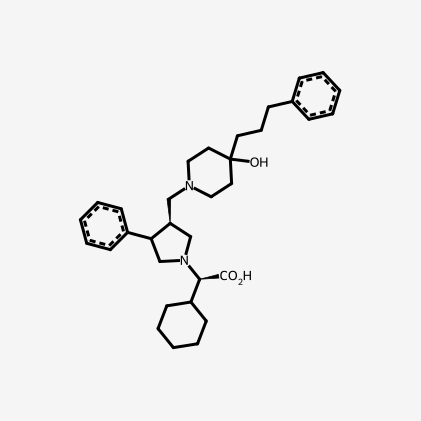 O=C(O)[C@@H](C1CCCCC1)N1CC(c2ccccc2)[C@@H](CN2CCC(O)(CCCc3ccccc3)CC2)C1